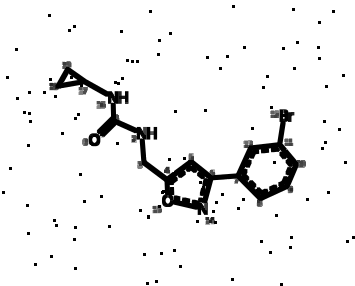 O=C(NCc1cc(-c2cccc(Br)c2)no1)NC1CC1